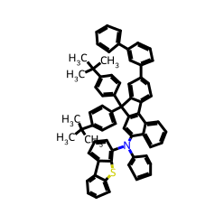 CC(C)(C)c1ccc(C2(c3ccc(C(C)(C)C)cc3)c3cc(-c4cccc(-c5ccccc5)c4)ccc3-c3c2cc(N(c2ccccc2)c2cccc4c2sc2ccccc24)c2ccccc32)cc1